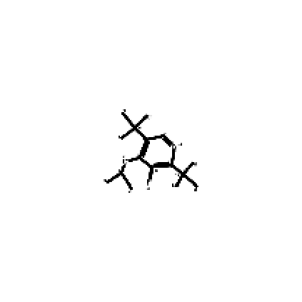 CC(C)Oc1c(C(C)(C)C)cnc(C(C)(C)C)c1F